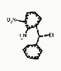 CCC(c1ccccc1)c1cccc([N+](=O)[O-])c1N